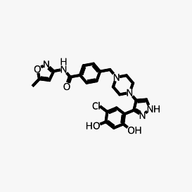 Cc1cc(NC(=O)c2ccc(CN3CCN(c4c[nH]nc4-c4cc(Cl)c(O)cc4O)CC3)cc2)no1